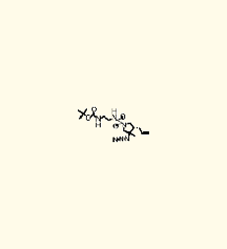 C=CC[C@H]1CN(S(=O)(=O)NCCNC(=O)OC(C)(C)C)CC1(C)N=[N+]=[N-]